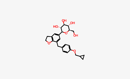 OC[C@H]1OC(c2cc3c(c(Cc4ccc(OCC5CC5)cc4)c2)OCC3)[C@H](O)[C@@H](O)[C@@H]1O